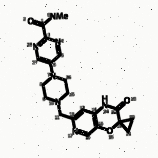 CNC(=O)c1ncc(N2CCN(Cc3cc4c(cn3)OC3(CC3)C(=O)N4)CC2)cn1